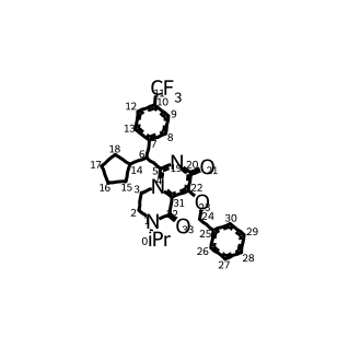 CC(C)N1CCn2c(C(c3ccc(C(F)(F)F)cc3)C3CCCC3)nc(=O)c(OCc3ccccc3)c2C1=O